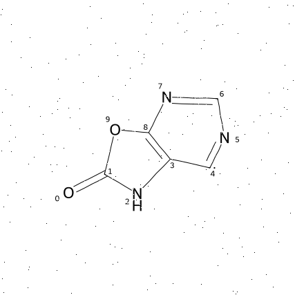 O=c1[nH]c2[c]ncnc2o1